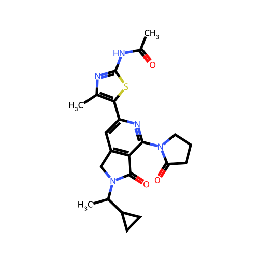 CC(=O)Nc1nc(C)c(-c2cc3c(c(N4CCCC4=O)n2)C(=O)N(C(C)C2CC2)C3)s1